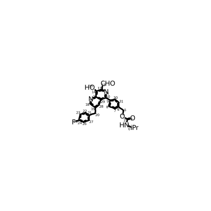 CC(C)NC(=O)OCc1ccc(-c2nc(C=O)c(O)c3ncc(Cc4ccc(F)cc4)cc23)cc1